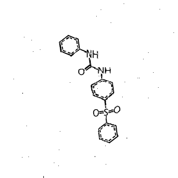 O=C(Nc1ccccc1)Nc1ccc(S(=O)(=O)c2ccccc2)cc1